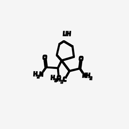 CC(C(N)=O)C1(C(C)C(N)=O)CCCCC1.[LiH]